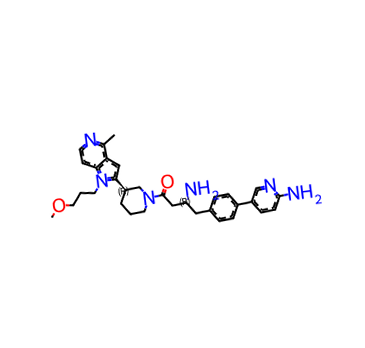 COCCCn1c([C@@H]2CCCN(C(=O)C[C@H](N)Cc3ccc(-c4ccc(N)nc4)cc3)C2)cc2c(C)nccc21